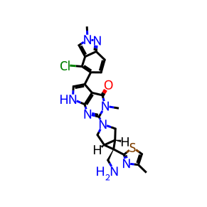 Cc1csc([C@]2(CN)[C@@H]3CN(c4nc5[nH]cc(-c6ccc7nn(C)cc7c6Cl)c5c(=O)n4C)C[C@@H]32)n1